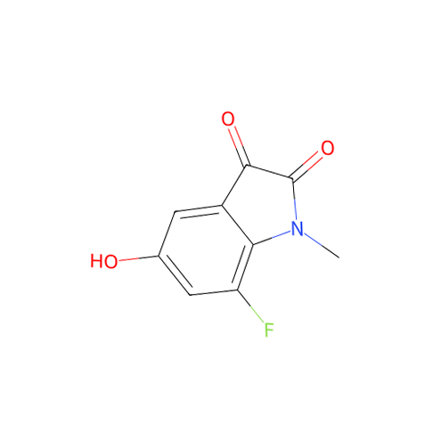 CN1C(=O)C(=O)c2cc(O)cc(F)c21